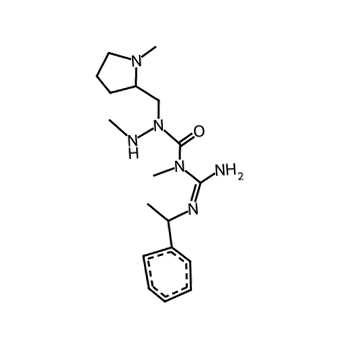 CNN(CC1CCCN1C)C(=O)N(C)/C(N)=N\C(C)c1ccccc1